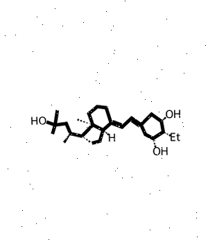 CC[C@@H]1[C@H](O)C/C(=C\C=C2/CCC[C@@]3(C)[C@@H]2CC[C@@H]3[C@@H](C)CC(C)(C)O)C[C@@H]1O